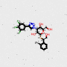 CC(C)c1ccccc1[C@H](CO)S[C@@H]1O[C@H](CO)[C@H](O)[C@H](n2cc(-c3cc(F)c(F)c(F)c3)nn2)[C@H]1O